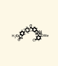 COc1ccc(Cl)cc1S(=O)(=O)Nc1ccc(C(=O)N2CCN(c3ccc4c(c3)sc(=O)n4C)CC2)cc1